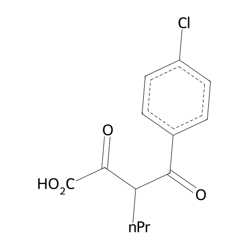 CCCC(C(=O)C(=O)O)C(=O)c1ccc(Cl)cc1